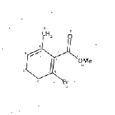 COC(=O)C1=C(Br)CCC=C1C